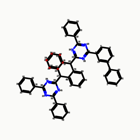 c1ccc(-c2cccc(-c3nc(-c4ccccc4)nc(C45c6ccccc6C(c6nc(-c7ccccc7)nc(-c7ccccc7)n6)(c6ccccc64)c4ccccc45)n3)c2)cc1